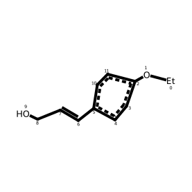 CCOc1ccc(/C=C/CO)cc1